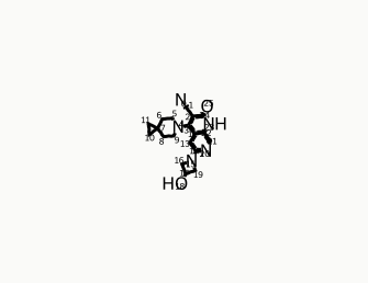 N#Cc1c(N2CCC3(CC2)CC3)c2cc(N3CC(O)C3)ncc2[nH]c1=O